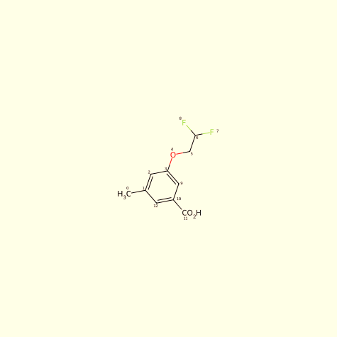 Cc1cc(OCC(F)F)cc(C(=O)O)c1